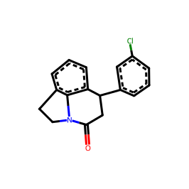 O=C1CC(c2cccc(Cl)c2)c2cccc3c2N1CC3